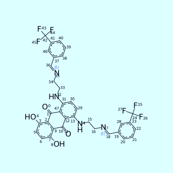 O=C1c2c(O)ccc(O)c2C(=O)c2c(NCC/N=C/c3cccc(C(F)(F)F)c3)ccc(NCC/N=C/c3cccc(C(F)(F)F)c3)c21